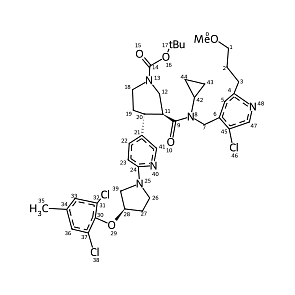 COCCCc1cc(CN(C(=O)[C@@H]2CN(C(=O)OC(C)(C)C)CC[C@H]2c2ccc(N3CC[C@@H](Oc4c(Cl)cc(C)cc4Cl)C3)nc2)C2CC2)c(Cl)cn1